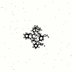 Cc1ccccc1CNC(=O)[C@H]1N(C(=O)[C@@H](O)[C@H](Cc2ccccc2)NC(=O)Nc2ccccc2OC(F)(F)F)CSC1(C)C